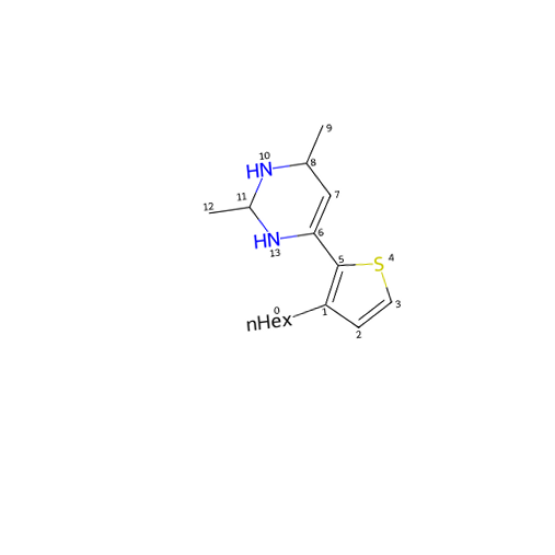 CCCCCCc1ccsc1C1=CC(C)NC(C)N1